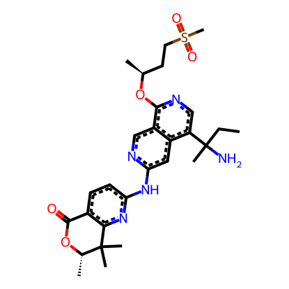 CCC(C)(N)c1cnc(O[C@@H](C)CCS(C)(=O)=O)c2cnc(Nc3ccc4c(n3)C(C)(C)[C@H](C)OC4=O)cc12